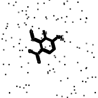 CC1C(N)=CC=C([N+](=O)[O-])C1=S=O